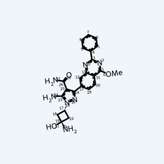 COc1nc(-c2ccccc2)nc2cc(-c3nn([C@H]4C[C@@](N)(O)C4)c(N)c3C(N)=O)ccc12